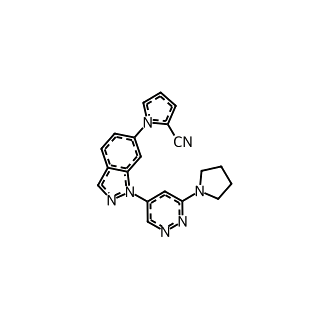 N#Cc1cccn1-c1ccc2cnn(-c3cnnc(N4CCCC4)c3)c2c1